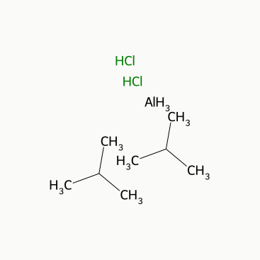 CC(C)C.CC(C)C.Cl.Cl.[AlH3]